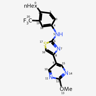 CCCCCCc1ccc(Nc2nc(-c3cnc(OC)nc3)cs2)cc1C(F)(F)F